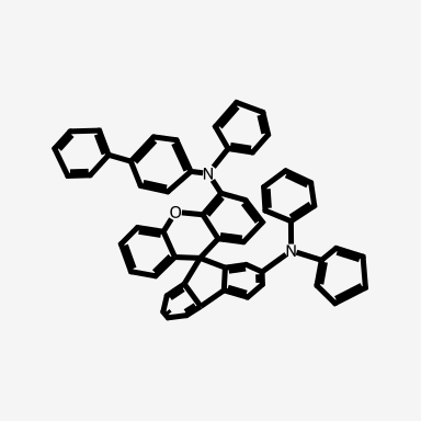 c1ccc(-c2ccc(N(c3ccccc3)c3cccc4c3Oc3ccccc3C43c4ccccc4-c4ccc(N(c5ccccc5)c5ccccc5)cc43)cc2)cc1